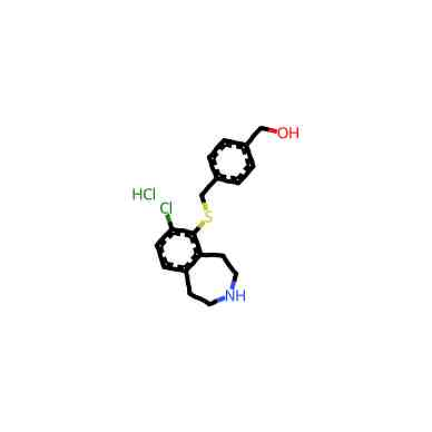 Cl.OCc1ccc(CSc2c(Cl)ccc3c2CCNCC3)cc1